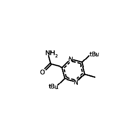 Cc1nc(C(C)(C)C)c(C(N)=O)nc1C(C)(C)C